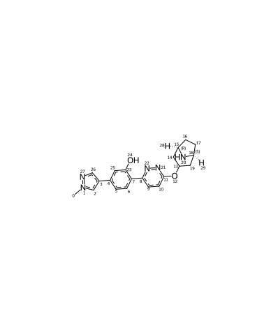 Cn1cc(-c2ccc(-c3ccc(OC4C[C@H]5CC[C@@H](C4)N5)nn3)c(O)c2)cn1